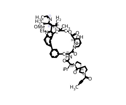 C=C/C(=C(\N=C/C)[C@H](C)OC)c1c2c3cc(ccc3n1CC)-c1cccc(c1)C[C@H](NC(=O)[C@H](C(C)C)N1CC[C@@]3(CCN(C(=O)C#CC)C3)C1=O)C(=O)N1CCC[C@@](O)(N1)C(=O)OCC(C)(C)C2